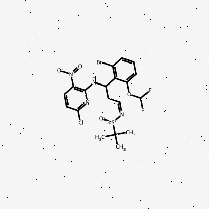 CC(C)(C)[S@@+]([O-])N=CCC(Nc1nc(Cl)ccc1[N+](=O)[O-])c1c(Br)cccc1OC(F)F